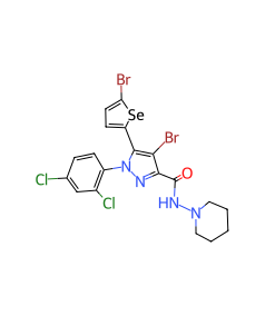 O=C(NN1CCCCC1)c1nn(-c2ccc(Cl)cc2Cl)c(-c2ccc(Br)[se]2)c1Br